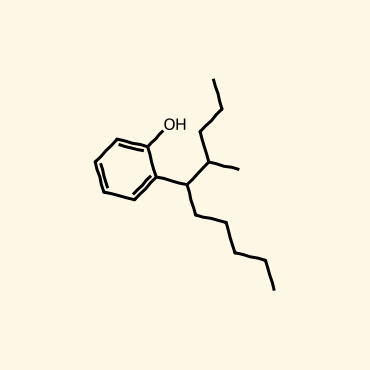 CCCCCC(c1ccccc1O)C(C)CCC